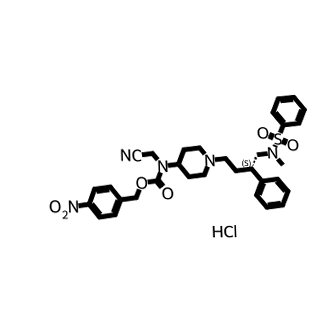 CN(C[C@@H](CCN1CCC(N(CC#N)C(=O)OCc2ccc([N+](=O)[O-])cc2)CC1)c1ccccc1)S(=O)(=O)c1ccccc1.Cl